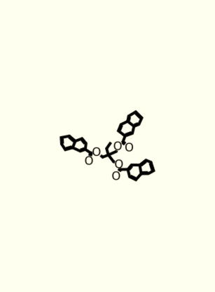 CCC(COC(=O)c1ccc2ccccc2c1)(COC(=O)c1ccc2ccccc2c1)COC(=O)c1ccc2ccccc2c1